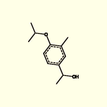 Cc1cc(C(C)O)ccc1OC(C)C